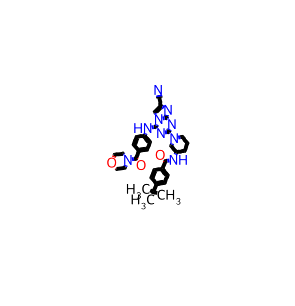 CC(C)(C)c1ccc(C(=O)NC2CCCN(c3nc(Nc4ccc(C(=O)N5CCOCC5)cc4)n4cc(C#N)nc4n3)C2)cc1